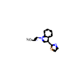 N#C/C=C/n1cc(-c2nccs2)c2ccccc21